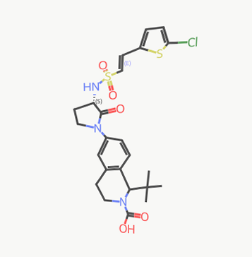 CC(C)(C)C1c2ccc(N3CC[C@H](NS(=O)(=O)/C=C/c4ccc(Cl)s4)C3=O)cc2CCN1C(=O)O